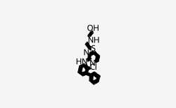 OCCNCc1nc2c(Nc3cccc(-c4ccccc4)c3Cl)nccc2s1